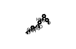 COc1ccc(-c2ccccc2C(=O)Nc2ccc(N(CCc3cccc(NC(=O)OC(C)(C)C)n3)C(=O)O)cc2)cc1